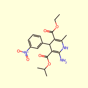 CCOC(=O)C1=C(C)NC(N)=C(C(=O)OC(C)C)C1c1cccc([N+](=O)[O-])c1